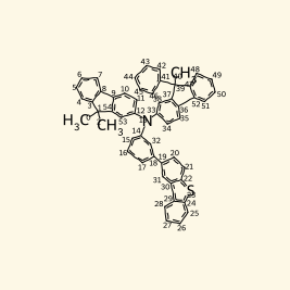 CC1(C)c2ccccc2-c2ccc(N(c3cccc(-c4ccc5sc6ccccc6c5c4)c3)c3ccc4c(c3)C(C)(c3ccccc3)c3ccccc3-4)cc21